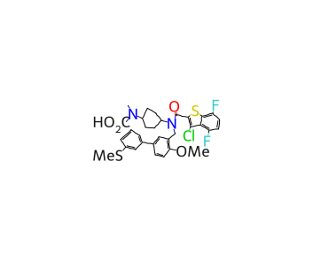 COc1ccc(-c2cccc(SC)c2)cc1CN(C(=O)c1sc2c(F)ccc(F)c2c1Cl)C1CCC(N(C)C(=O)O)CC1